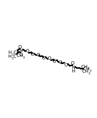 CC(C)(C)CCCCNC(=O)CCOCCOCCOCCOCCOCCOCCOCCOCCN1C(=O)CC(C(C)(C)C)C1=O